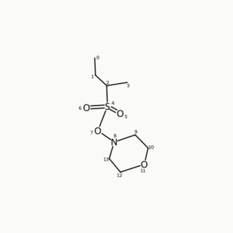 CCC(C)S(=O)(=O)ON1CCOCC1